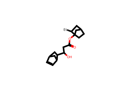 CCC1CC2CCC1(OC(=O)CC(O)C1CC3C=CC1C3)C2